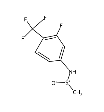 C[S+]([O-])Nc1ccc(C(F)(F)F)c(F)c1